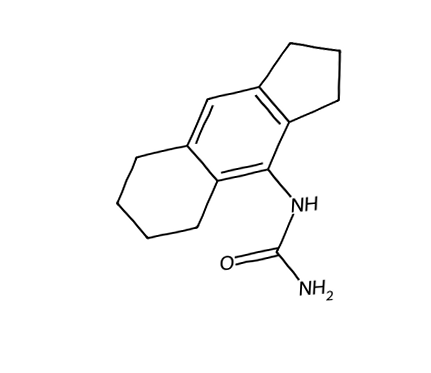 NC(=O)Nc1c2c(cc3c1CCC3)CCCC2